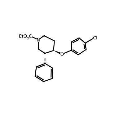 CCOC(=O)N1CC[C@@H](Oc2ccc(Cl)cc2)[C@H](c2ccccc2)C1